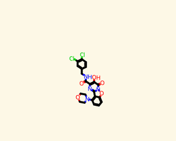 O=C(NCc1ccc(Cl)c(Cl)c1)c1nc2c3c(N4CCOCC4)cccc3on2c(=O)c1O